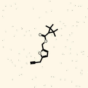 C#CCc1ccc(COC(=O)C2C(C)(C)C2(C)C)o1